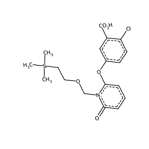 C[Si](C)(C)CCOCn1c(Oc2ccc(Cl)c(C(=O)O)c2)cccc1=O